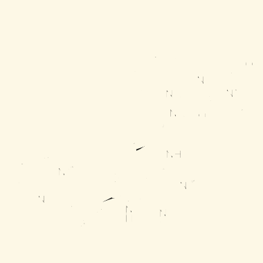 Cc1cc(N2CC(=O)N(C)C2=O)n2nc([C@H](C)Nc3cc(NC(=O)[C@H]4C[C@@H]4c4nccc(C)n4)ncn3)cc2c1